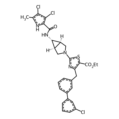 CCOC(=O)c1sc(N2C[C@@H]3[C@H](C2)[C@H]3NC(=O)c2[nH]c(C)c(Cl)c2Cl)nc1Cc1cccc(-c2cccc(Cl)c2)c1